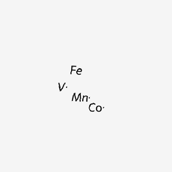 [Co].[Fe].[Mn].[V]